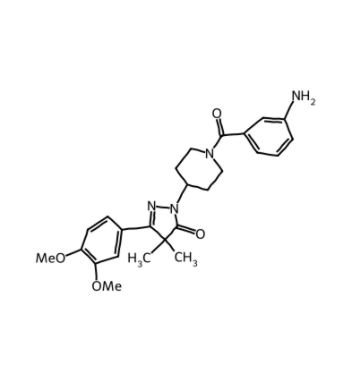 COc1ccc(C2=NN(C3CCN(C(=O)c4cccc(N)c4)CC3)C(=O)C2(C)C)cc1OC